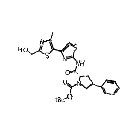 Cc1nc(CO)sc1-c1csc(NC(=O)[C@@H]2C[C@@H](c3ccccc3)CN2C(=O)OC(C)(C)C)n1